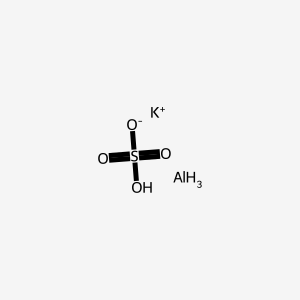 O=S(=O)([O-])O.[AlH3].[K+]